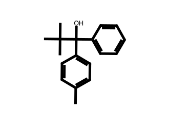 Cc1ccc(C(O)(c2ccccc2)C(C)(C)C)cc1